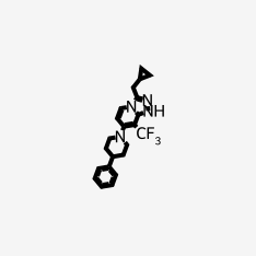 FC(F)(F)C1=C(N2CCC(c3ccccc3)CC2)C=CN2C(CC3CC3)=NNC12